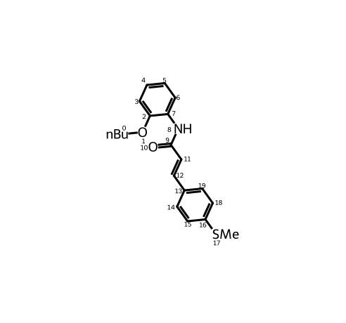 CCCCOc1ccccc1NC(=O)/C=C/c1ccc(SC)cc1